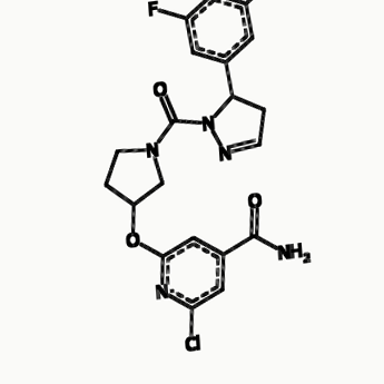 NC(=O)c1cc(Cl)nc(OC2CCN(C(=O)N3N=CCC3c3cc(F)cc(F)c3)C2)c1